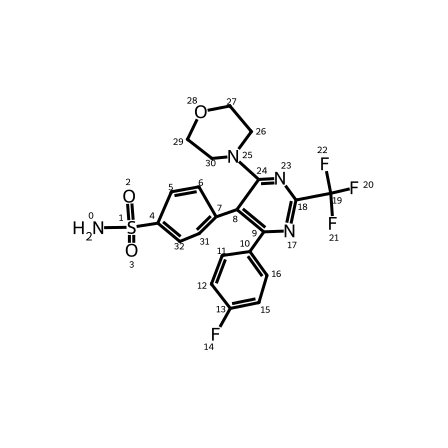 NS(=O)(=O)c1ccc(-c2c(-c3ccc(F)cc3)nc(C(F)(F)F)nc2N2CCOCC2)cc1